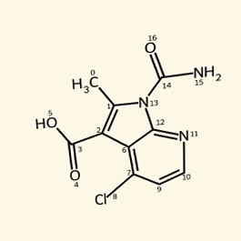 Cc1c(C(=O)O)c2c(Cl)ccnc2n1C(N)=O